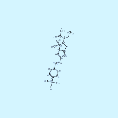 CCC(C(=O)O)N1Cc2sc(/C=C/c3ccc(C(F)(F)F)cc3)cc2S1(=O)=O